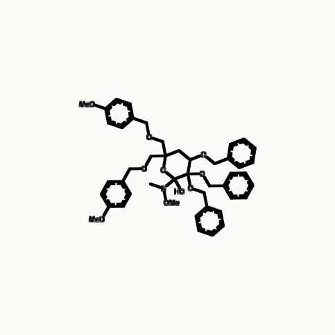 COc1ccc(COCC2(COCc3ccc(OC)cc3)CC(OCc3ccccc3)C(OCc3ccccc3)(OCc3ccccc3)C(O)(N(C)OC)O2)cc1